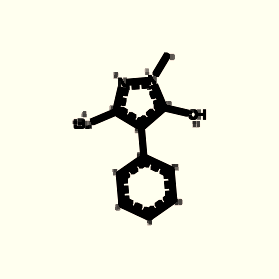 Cn1nc(C(C)(C)C)c(-c2ccccc2)c1O